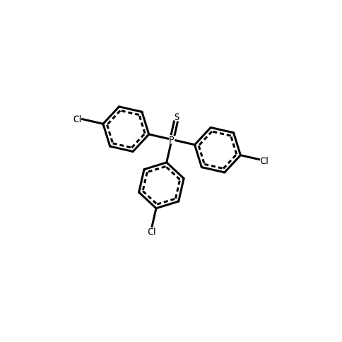 S=P(c1ccc(Cl)cc1)(c1ccc(Cl)cc1)c1ccc(Cl)cc1